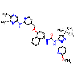 COc1ccc(-n2nc(C(C)(C)C)cc2NC(=O)Nc2ccc(OCc3ccnc(Nc4cnc(C)c(C)n4)c3)c3ccccc23)cn1